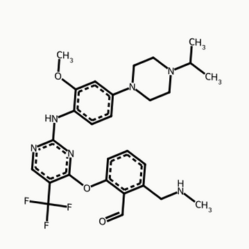 CNCc1cccc(Oc2nc(Nc3ccc(N4CCN(C(C)C)CC4)cc3OC)ncc2C(F)(F)F)c1C=O